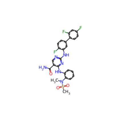 CN(c1ccccc1Nc1nc(Nc2cc(-c3ccc(F)cc3F)ccc2F)ncc1C(N)=O)S(C)(=O)=O